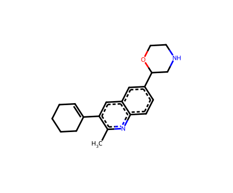 Cc1nc2ccc(C3CNCCO3)cc2cc1C1=CCCCC1